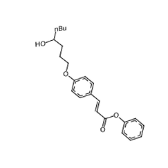 CCCCC(O)CCCOc1ccc(C=CC(=O)Oc2ccccc2)cc1